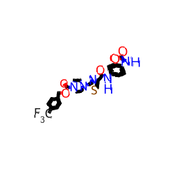 O=C(Nc1ccc2[nH]c(=O)oc2c1)c1csc(N2CCN(C(=O)OCc3ccc(C(F)(F)F)cc3)CC2)n1